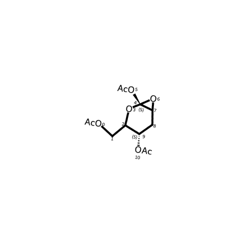 CC(=O)OCC1O[C@]2(OC(C)=O)OC2C[C@@H]1OC(C)=O